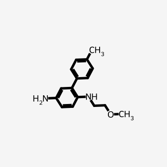 COCCNc1ccc(N)cc1-c1ccc(C)cc1